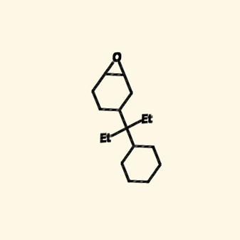 CCC(CC)(C1CCCCC1)C1CCC2OC2C1